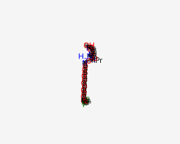 CCCN(CCCOCCCN(C)CCOCCOCCOCCOCCOCCOCCOCCOCCOCCOCCC(=O)Oc1c(F)c(F)cc(F)c1F)C(=O)C1=Cc2ccc(-c3cccc(S(=O)(=O)N4CC(CO)C4)c3)cc2N=C(N)C1